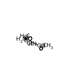 COc1ccccc1OCCNCC(Cl)c1ccc(C)c(S(N)(=O)=O)c1